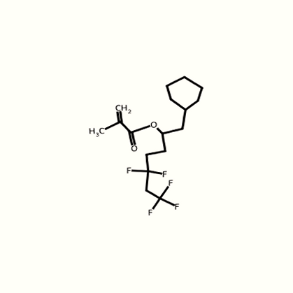 C=C(C)C(=O)OC(CCC(F)(F)CC(F)(F)F)CC1CCCCC1